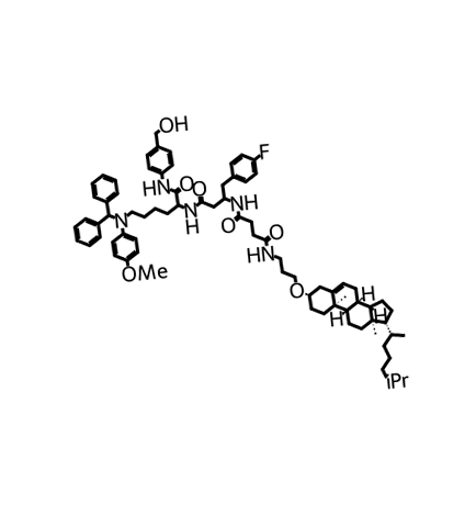 COc1ccc(N(CCCCC(NC(=O)CC(Cc2ccc(F)cc2)NC(=O)CCC(=O)NCCCO[C@H]2CC[C@@]3(C)C(=CC[C@H]4[C@@H]5CC[C@H](C(C)CCCC(C)C)[C@@]5(C)CC[C@@H]43)C2)C(=O)Nc2ccc(CO)cc2)C(c2ccccc2)c2ccccc2)cc1